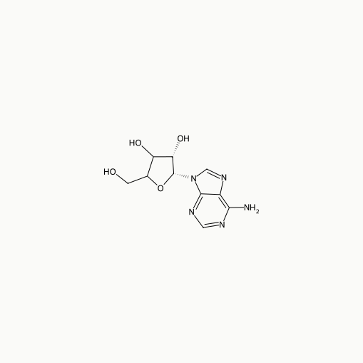 Nc1ncnc2c1ncn2[C@@H]1OC(CO)C(O)[C@@H]1O